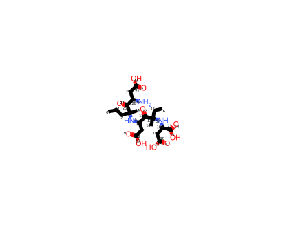 CCCC(C)(NC(CC(=O)O)C(=O)C(C)(CC)NC(CC(=O)O)C(=O)O)C(=O)C(N)CC(=O)O